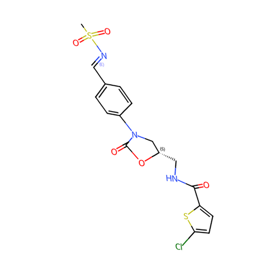 CS(=O)(=O)/N=C/c1ccc(N2C[C@H](CNC(=O)c3ccc(Cl)s3)OC2=O)cc1